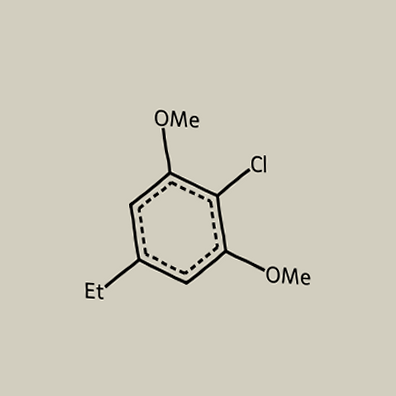 CCc1cc(OC)c(Cl)c(OC)c1